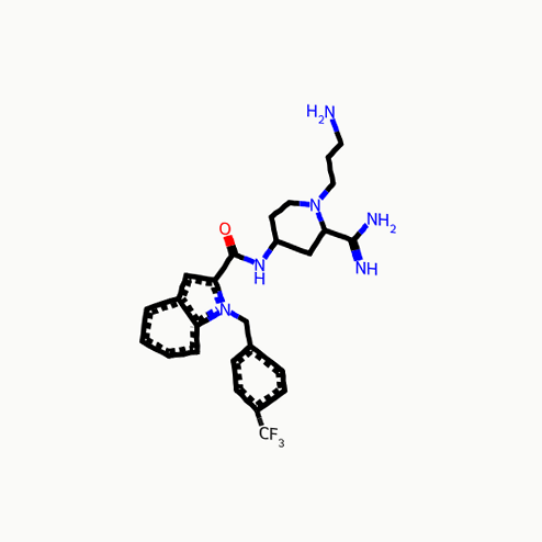 N=C(N)C1CC(NC(=O)c2cc3ccccc3n2Cc2ccc(C(F)(F)F)cc2)CCN1CCCN